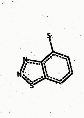 [S]c1cccc2snnc12